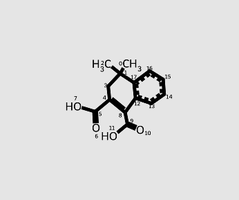 CC1(C)CC(C(=O)O)=C(C(=O)O)c2ccccc21